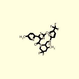 Cc1ccc(-c2sc(C)nc2C(=O)N2CC(F)(F)CC(C)C2CNc2ccc(C(F)(F)F)cn2)nc1